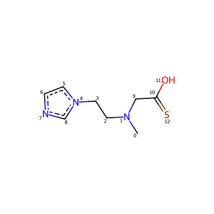 CN(CCn1ccnc1)CC(O)=S